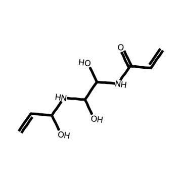 C=CC(=O)NC(O)C(O)NC(O)C=C